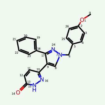 COc1ccc(Cn2cc(-c3ccc(=O)[nH]n3)c(-c3ccccc3)n2)cc1